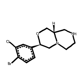 Clc1cc([C@@H]2CN3CCNC[C@H]3CO2)ccc1Br